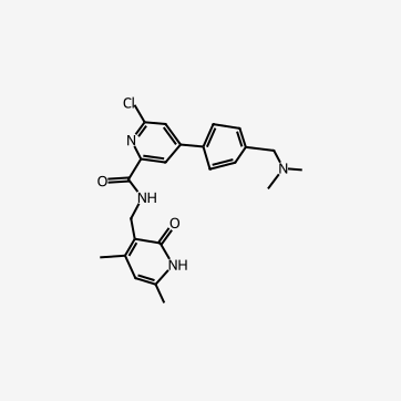 Cc1cc(C)c(CNC(=O)c2cc(-c3ccc(CN(C)C)cc3)cc(Cl)n2)c(=O)[nH]1